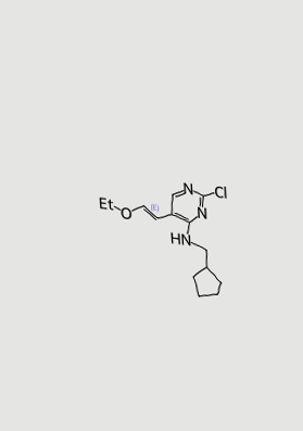 CCO/C=C/c1cnc(Cl)nc1NCC1CCCC1